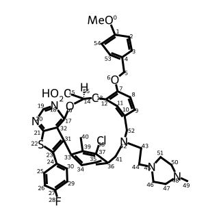 COc1ccc(COc2ccc3cc2C[C@H](C(=O)O)Oc2ncnc4sc(-c5ccc(F)cc5)c(c24)-c2ccc(c(Cl)c2C)CN(CCN2CCN(C)CC2)C3)cc1